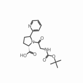 CC(C)(C)OC(=O)NCC(=O)N1C(c2ccccn2)CC[C@H]1C(=O)O